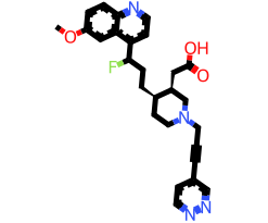 COc1ccc2nccc(C(F)CC[C@@H]3CCN(CC#Cc4ccnnc4)C[C@@H]3CC(=O)O)c2c1